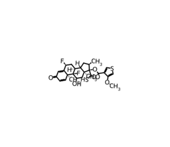 COc1cscc1C(=O)O[C@]1(C(=O)S)[C@H](C)C[C@H]2[C@@H]3C[C@H](F)C4=CC(=O)C=C[C@]4(C)[C@@]3(F)[C@@H](O)C[C@@]21C